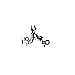 CO[C@H](CO)c1nc(N2CCOCC2)cc(-n2ccc(-c3csc4ccccc34)n2)n1